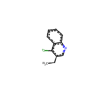 [CH2][CH]c1cnc2ccccc2c1Cl